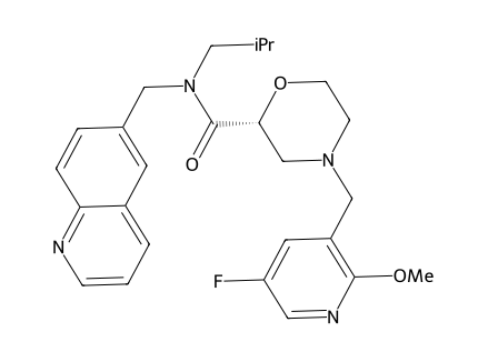 COc1ncc(F)cc1CN1CCO[C@@H](C(=O)N(Cc2ccc3ncccc3c2)CC(C)C)C1